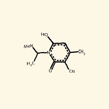 CNC(C)n1c(O)cc(C)c(C#N)c1=O